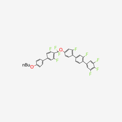 CCCCOc1ccc(-c2cc(F)c(C(F)(F)Oc3ccc(-c4ccc(-c5cc(F)c(F)c(F)c5)c(F)c4)c(F)c3)c(F)c2)cc1